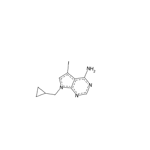 Nc1ncnc2c1c(I)cn2CC1CC1